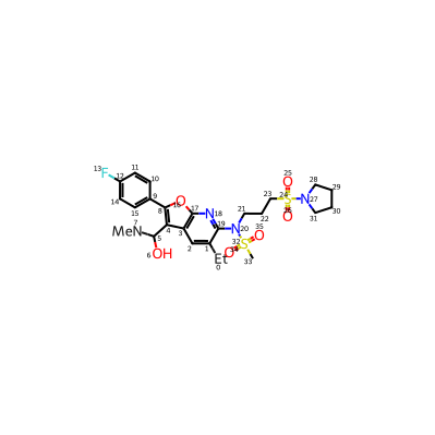 CCc1cc2c(C(O)NC)c(-c3ccc(F)cc3)oc2nc1N(CCCS(=O)(=O)N1CCCC1)S(C)(=O)=O